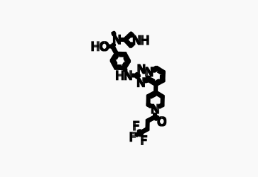 CN(C1CNC1)C(O)c1ccc(Nc2nc3c(C4=CCN(C(=O)CCC(F)(F)F)CC4)cccn3n2)cc1